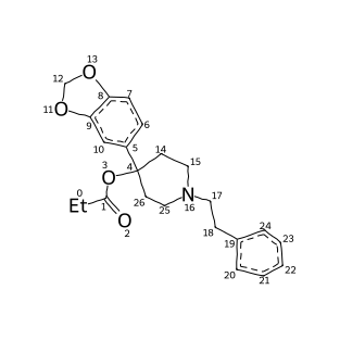 CCC(=O)OC1(c2ccc3c(c2)OCO3)CCN(CCc2ccccc2)CC1